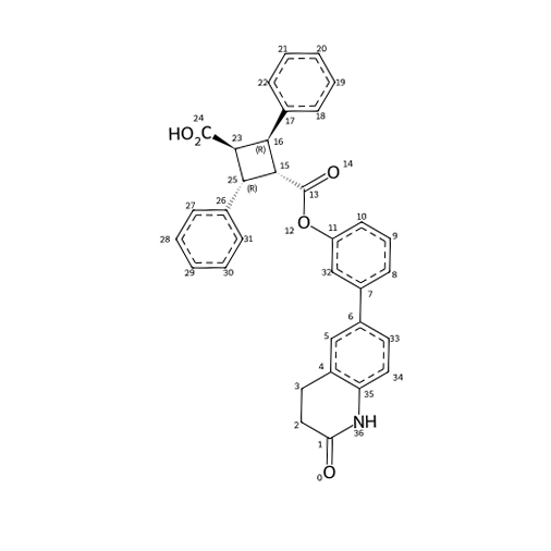 O=C1CCc2cc(-c3cccc(OC(=O)[C@H]4[C@H](c5ccccc5)[C@H](C(=O)O)[C@H]4c4ccccc4)c3)ccc2N1